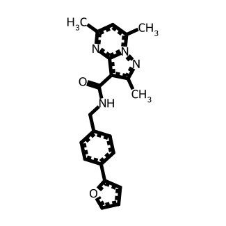 Cc1cc(C)n2nc(C)c(C(=O)NCc3ccc(-c4ccco4)cc3)c2n1